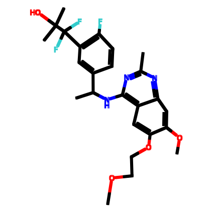 COCCOc1cc2c(NC(C)c3ccc(F)c(C(F)(F)C(C)(C)O)c3)nc(C)nc2cc1OC